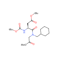 COC(=O)CN(CC1CCCCC1)C(=O)[C@H](CC(=O)OC(C)(C)C)NC(=O)OC(C)(C)C